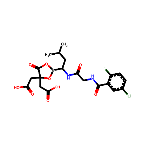 CC(C)CC(NC(=O)CNC(=O)c1cc(Cl)ccc1F)B1OC(=O)C(CC(=O)O)(CC(=O)O)O1